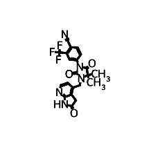 CC1(C)C(=O)N(c2ccc(C#N)c(C(F)(F)F)c2)C(=O)N1Cc1ccnc2c1CC(=O)N2